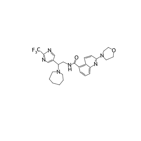 O=C(NCC(c1cnc(C(F)(F)F)nc1)N1CCCCCC1)c1cccc2nc(N3CCOCC3)ccc12